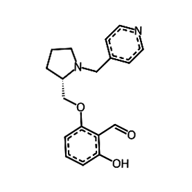 O=Cc1c(O)cccc1OC[C@@H]1CCCN1Cc1ccncc1